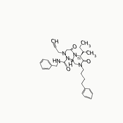 C#CCN1CC(=O)N2[C@@H](C(C)CC)C(=O)N(CCCCc3ccccc3)C[C@@H]2N1C(=O)NCc1ccccc1